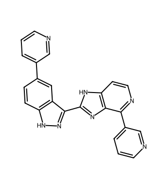 c1cncc(-c2ccc3[nH]nc(-c4nc5c(-c6cccnc6)nccc5[nH]4)c3c2)c1